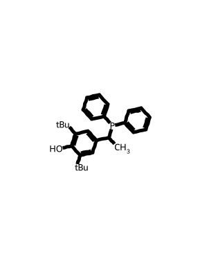 CC(c1cc(C(C)(C)C)c(O)c(C(C)(C)C)c1)P(c1ccccc1)c1ccccc1